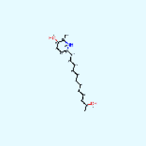 CC(O)CCCCCCCCCC[C@H]1CC[C@@H](O)[C@@H](C)N1